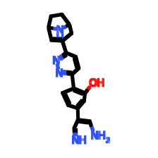 N=C/C(=C\N)c1ccc(-c2ccc(C3=CC4CCC(C3)N4)nn2)c(O)c1